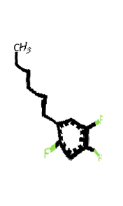 CCCCC=Cc1cc(F)c(F)cc1F